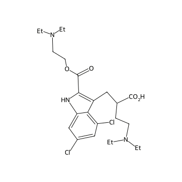 CCN(CC)CCOC(=O)c1[nH]c2cc(Cl)cc(Cl)c2c1CC(CCN(CC)CC)C(=O)O